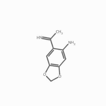 CC(=N)c1cc2c(cc1N)OCO2